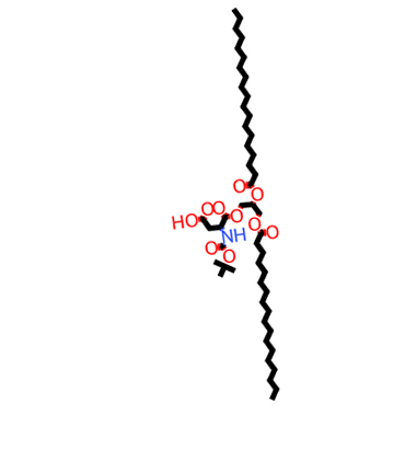 CCCCCCCCCCCCCCCCCCC(=O)OC(COC(=O)CCCCCCCCCCCCCCCCC)COC(=O)C(CC(=O)O)NC(=O)OC(C)(C)C